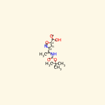 C[C@@H](NC(=O)OC(C)(C)C)c1cc(C(=O)O)on1